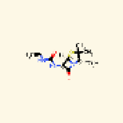 C=CNC(=O)N[C@@H]1C(=O)N2[C@@H]1SC(C)(C)[C@@H]2C(=O)O